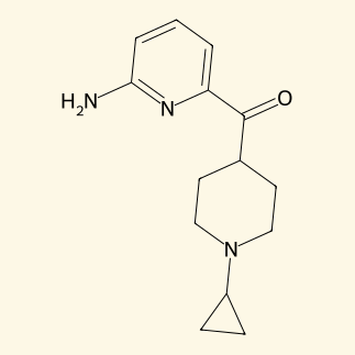 Nc1cccc(C(=O)C2CCN(C3CC3)CC2)n1